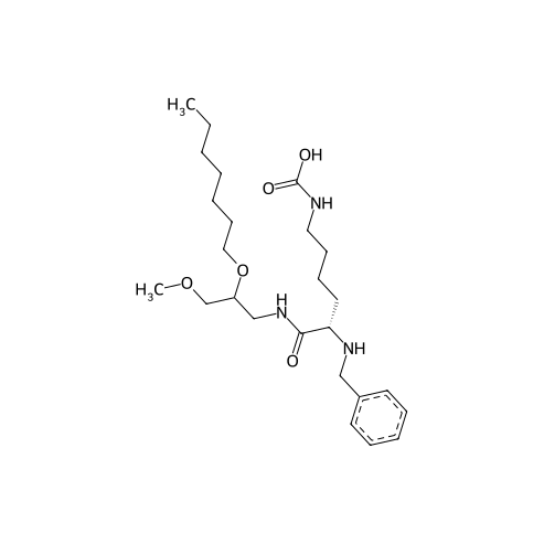 CCCCCCCOC(CNC(=O)[C@H](CCCCNC(=O)O)NCc1ccccc1)COC